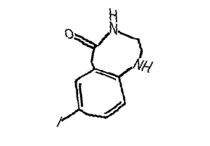 O=C1NCNc2ccc(I)cc21